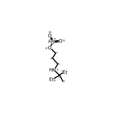 CCC(C)(CC)NCCCO[SH](=O)=O